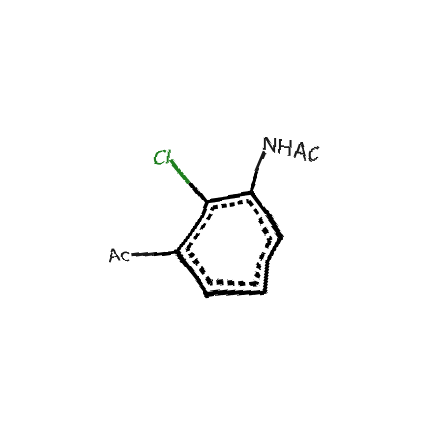 CC(=O)Nc1cccc(C(C)=O)c1Cl